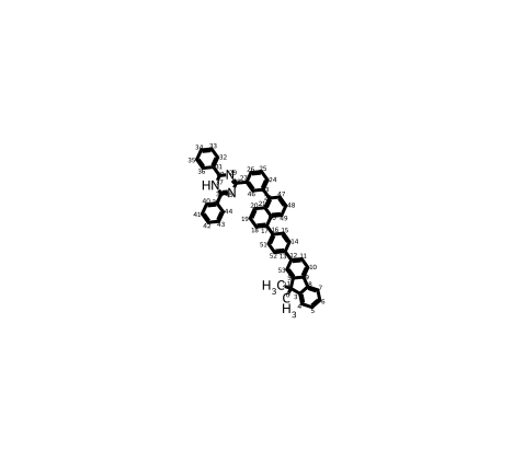 CC1(C)c2ccccc2-c2ccc(-c3ccc(-c4cccc5c(-c6cccc(C7=NC(c8ccccc8)NC(c8ccccc8)=N7)c6)cccc45)cc3)cc21